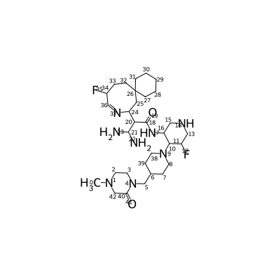 CN1CCN(CC2CCN(C3C(F)CNCC3NC(=O)C(C(N)N)C3CC4(CCCCC4)CCC(F)/C=N\3)CC2)C(=O)C1